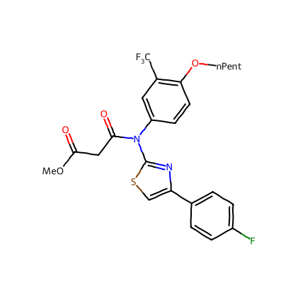 CCCCCOc1ccc(N(C(=O)CC(=O)OC)c2nc(-c3ccc(F)cc3)cs2)cc1C(F)(F)F